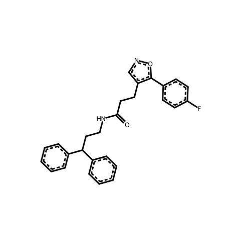 O=C(CCc1cnoc1-c1ccc(F)cc1)NCCC(c1ccccc1)c1ccccc1